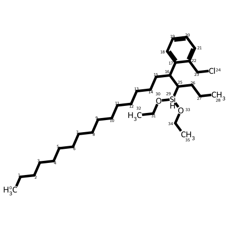 CCCCCCCCCCCCCCCCC(c1ccccc1CCl)C(CCC)[SiH](OCC)OCC